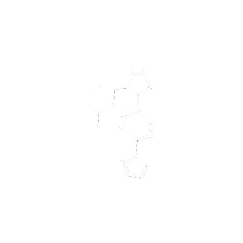 CC[C@@H]1c2nncn2-c2cnc(-n3ccnc3)nc2N1C(C)C